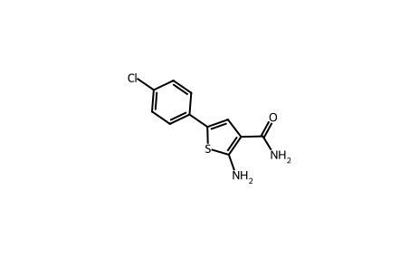 NC(=O)c1cc(-c2ccc(Cl)cc2)sc1N